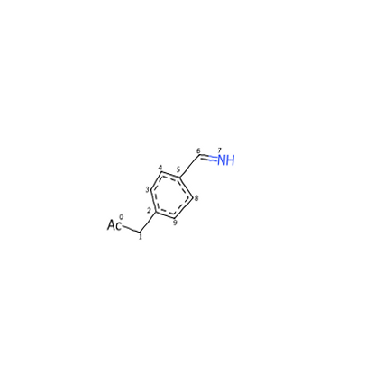 CC(=O)Cc1ccc(C=N)cc1